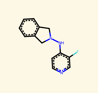 Fc1cnccc1NN1Cc2ccccc2C1